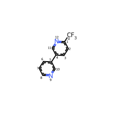 FC(F)(F)c1ccc(-c2cccnc2)[c]n1